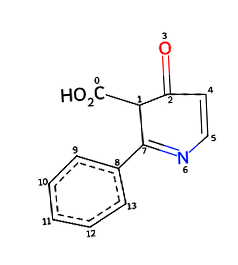 O=C(O)C1C(=O)C=CN=C1c1ccccc1